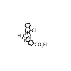 CCOC(=O)c1ccc2nc(C)n(Cc3ncc4ccccc4c3Cl)c2c1